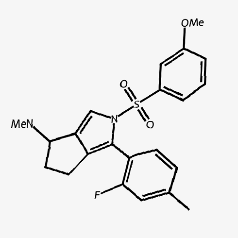 CNC1CCc2c1cn(S(=O)(=O)c1cccc(OC)c1)c2-c1ccc(C)cc1F